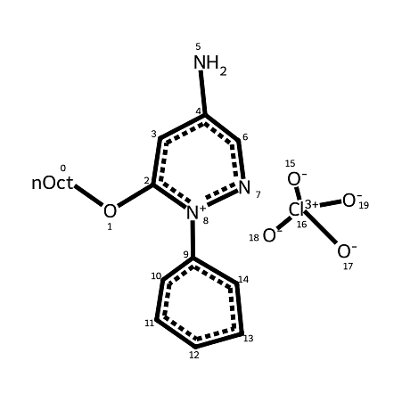 CCCCCCCCOc1cc(N)cn[n+]1-c1ccccc1.[O-][Cl+3]([O-])([O-])[O-]